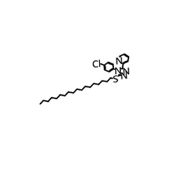 CCCCCCCCCCCCCCCCCCSc1nnc(-c2ccccn2)n1-c1ccc(Cl)cc1